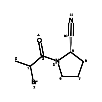 CC(Br)C(=O)N1CCC[C@H]1C#N